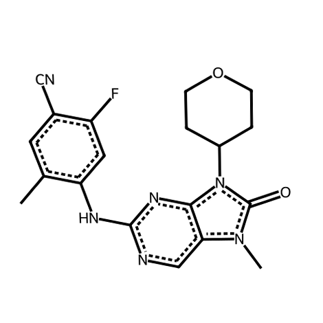 Cc1cc(C#N)c(F)cc1Nc1ncc2c(n1)n(C1CCOCC1)c(=O)n2C